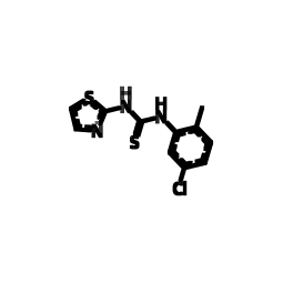 Cc1ccc(Cl)cc1NC(=S)Nc1nccs1